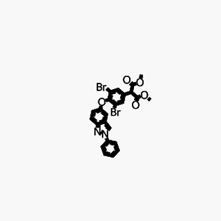 COC(=O)C(C(=O)OC)c1cc(Br)c(Oc2ccc3nn(-c4ccccc4)cc3c2)c(Br)c1